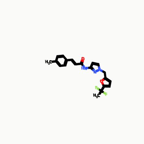 Cc1ccc(C=CC(=O)Nc2ccn(Cc3ccc(C(C)(F)F)o3)n2)cc1